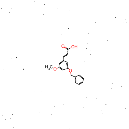 COc1cc(C=CC(=O)O)cc(OCc2ccccc2)c1